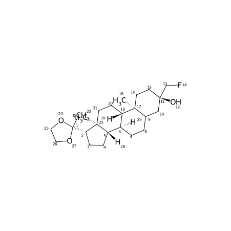 CC1([C@H]2CC[C@H]3[C@@H]4CCC5C[C@@](O)(CF)CC[C@]5(C)[C@H]4CC[C@]23C)OCCO1